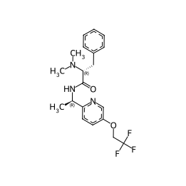 C[C@@H](NC(=O)[C@@H](Cc1ccccc1)N(C)C)c1ccc(OCC(F)(F)F)cn1